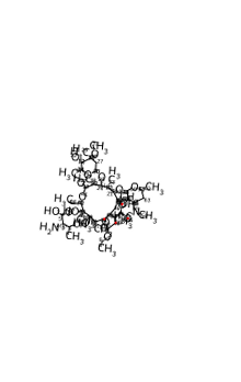 CC(C)[C@H](N)C(=O)O.CCOC(=O)CCC(=O)O[C@H]1[C@H](O[C@@H]2[C@@H](C)[C@H](O[C@H]3C[C@@](C)(OC)[C@@H](O)[C@H](C)O3)[C@@H](C)C(=O)O[C@H](CC)[C@@](C)(O)[C@H](O)[C@@H](C)C(=O)[C@H](C)C[C@@]2(C)O)O[C@H](C)C[C@@H]1N(C)C